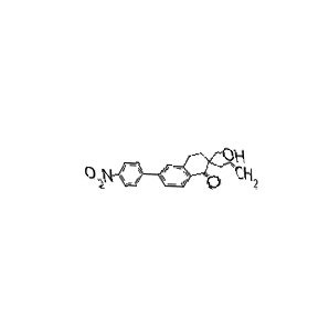 C=CCC1(CO)CCc2cc(-c3ccc([N+](=O)[O-])cc3)ccc2C1=O